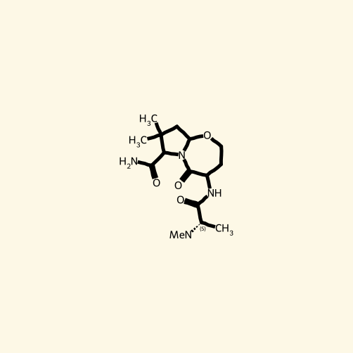 CN[C@@H](C)C(=O)NC1CCOC2CC(C)(C)C(C(N)=O)N2C1=O